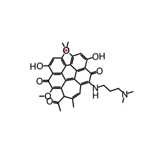 COc1c2c3c4c(c(NCCCN(C)C)c(=O)c5c(O)cc(OC)c(c6c(OC)cc(O)c(c1=O)c63)c54)C=C(C)C2C(C)=O